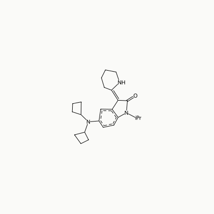 CC(C)N1C(=O)/C(=C2/CCCCN2)c2cc(N(C3CCC3)C3CCC3)ccc21